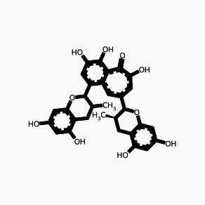 CC1Cc2c(O)cc(O)cc2OC1c1cc(O)c(O)c2c(=O)c(O)cc(C3Oc4cc(O)cc(O)c4C[C@H]3C)cc12